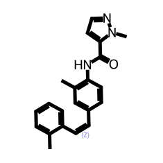 Cc1ccccc1/C=C\c1ccc(NC(=O)c2ccnn2C)c(C)c1